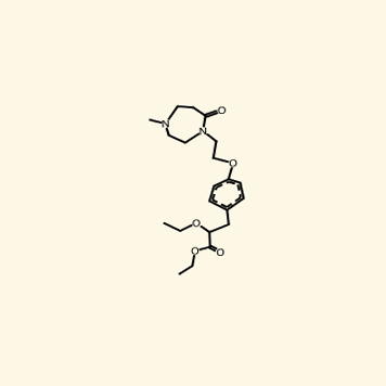 CCOC(=O)C(Cc1ccc(OCCN2CCN(C)CCC2=O)cc1)OCC